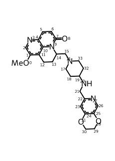 COc1cnc2ccc(=O)n3c2c1CCC3CN1CCC(NCc2cc3c(cn2)OCCO3)CC1